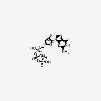 C[C@@]1(F)C[C@@H](COP(=O)(O)OP(=O)(O)OP(=O)(O)O)O[C@H]1n1cnc2c(=O)[nH]c(N)nc21